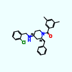 Cc1cc(C)cc(C(=O)N2CC[C@H](NCc3ccccc3Cl)C[C@@H]2Cc2ccccc2)c1